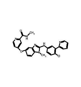 CNC(=O)c1cc(Oc2ccc3c(c2)nc(Nc2ccc(Cl)c(-c4ccccn4)c2)n3C)ccn1